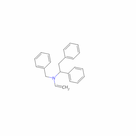 C=CN(Cc1ccccc1)C(Cc1ccccc1)c1ccccc1